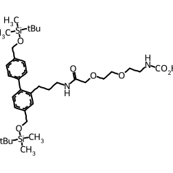 CC(C)(C)[Si](C)(C)OCc1ccc(-c2ccc(CO[Si](C)(C)C(C)(C)C)cc2CCCNC(=O)COCCOCCNC(=O)O)cc1